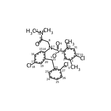 Cc1cc(S(=O)(=O)N(CC(=O)N(C)C)c2ccc(Cl)cc2Cc2ccccc2Cl)c(C)cc1Cl